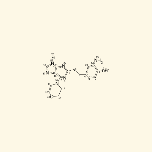 CCCc1ccc(CSc2nc(N3C=COCC3)c3ncn(CC)c3n2)cc1N